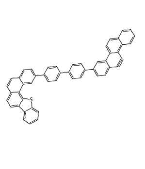 c1c2ccc(-c3ccc(-c4ccc(-c5ccc6ccc7ccc8c9ccccc9sc8c7c6c5)cc4)cc3)cc2c2ccc3ccccc3c2c#1